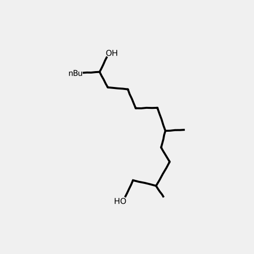 CCCCC(O)CCCCC(C)CCC(C)CO